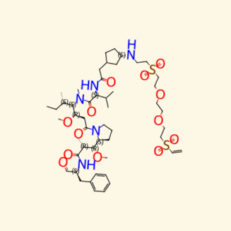 C=CS(=O)(=O)CCOCCOCCS(=O)(=O)CCN[C@H]1CCC(CC(=O)N[C@H](C(=O)N(C)[C@@H]([C@@H](C)CC)[C@@H](CC(=O)N2CCC[C@H]2[C@H](OC)[C@@H](C)C(=O)N[C@H](C=O)Cc2ccccc2)OC)C(C)C)C1